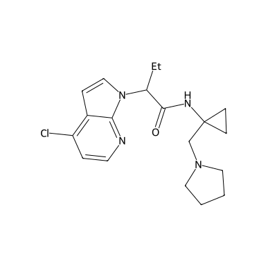 CCC(C(=O)NC1(CN2CCCC2)CC1)n1ccc2c(Cl)ccnc21